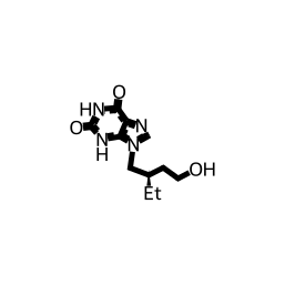 CC[C@H](CCO)Cn1cnc2c(=O)[nH]c(=O)[nH]c21